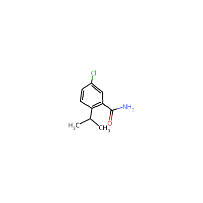 CC(C)c1ccc(Cl)cc1C(N)=O